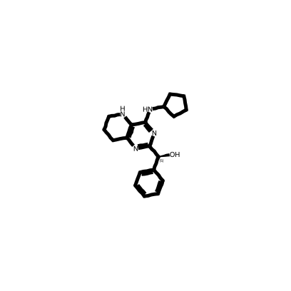 O[C@@H](c1ccccc1)c1nc2c(c(NC3CCCC3)n1)NCCC2